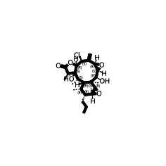 C=C1[C@H]2O[C@H]2[C@H](O)[C@]2(C)[C@H]([C@@H](C)[C@@H](CCC)[C@@H]3O[C@@H]32)[C@H](C)[C@]2(O)[C@@H](C)C(=O)O[C@H]2[C@H]1Cl